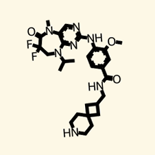 COc1cc(C(=O)NCC2CC3(CCNCC3)C2)ccc1Nc1ncc2c(n1)N(C(C)C)CC(F)(F)C(=O)N2C